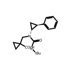 CC(C)(C)OC(=O)N(CC1(C(=O)O)CC1)[C@@H]1C[C@H]1c1ccccc1